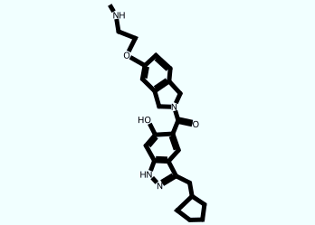 CNCCOc1ccc2c(c1)CN(C(=O)c1cc3c(CC4CCCC4)n[nH]c3cc1O)C2